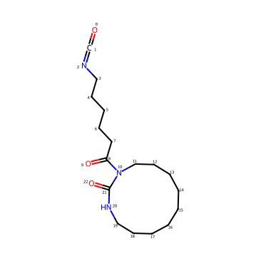 O=C=NCCCCCC(=O)N1CCCCCCCCCNC1=O